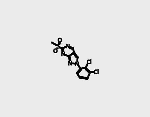 CS(=O)(=O)c1ncc2cn(-c3cccc(Cl)c3Cl)nc2n1